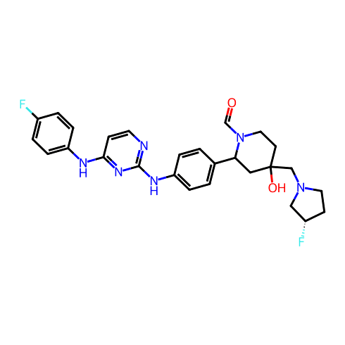 O=CN1CCC(O)(CN2CC[C@H](F)C2)CC1c1ccc(Nc2nccc(Nc3ccc(F)cc3)n2)cc1